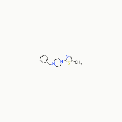 Cc1cnc(N2CCN(Cc3ccccc3)CC2)s1